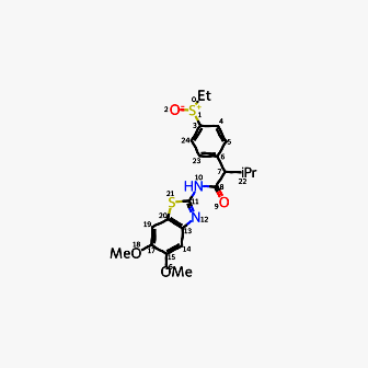 CC[S+]([O-])c1ccc(C(C(=O)Nc2nc3cc(OC)c(OC)cc3s2)C(C)C)cc1